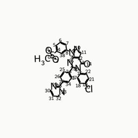 CS(=O)(=O)c1cccc(-n2ncc3c(=O)n(-c4ccc(Cl)cc4)c(-c4ccc(-c5ncccn5)cc4)nc32)c1